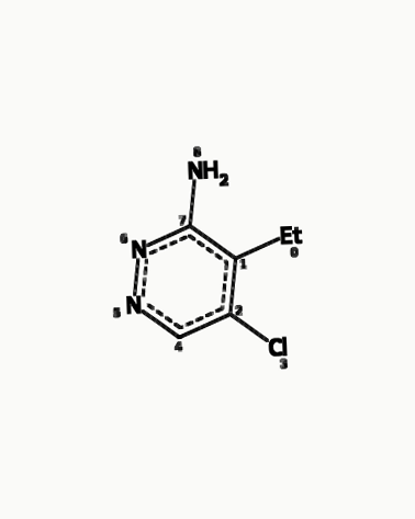 CCc1c(Cl)cnnc1N